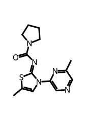 Cc1cncc(-n2cc(C)sc2=NC(=O)N2CCCC2)n1